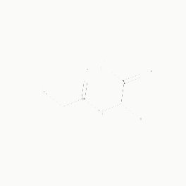 CCCC(NC(=O)CN)C(=O)CC